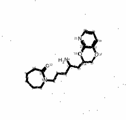 NC(CCCN1CCCCCC1=O)CC1COc2cccnc2O1